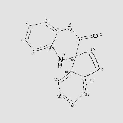 O=C1Oc2ccccc2NC12C=Cc1ccccc12